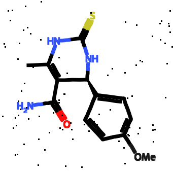 COc1ccc([C@@H]2NC(=S)NC(C)=C2C(N)=O)cc1